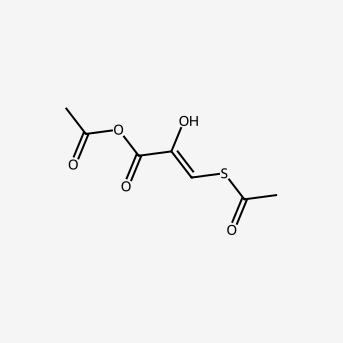 CC(=O)OC(=O)C(O)=CSC(C)=O